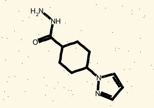 NNC(=O)C1CCC(n2cccn2)CC1